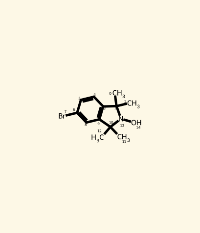 CC1(C)c2ccc(Br)cc2C(C)(C)N1O